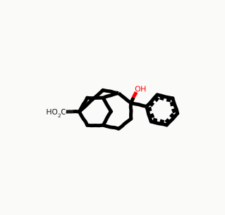 O=C(O)C12CC3CCC(O)(c4ccccc4)C(C1)C(C3)C2